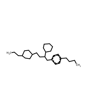 CCCCc1ccc(CC(CCC2CCC(CCC)CC2)C2CCCCC2)cc1